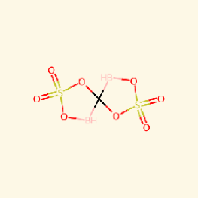 O=S1(=O)OBC2(BOS(=O)(=O)O2)O1